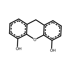 Oc1cccc2c1Oc1c(O)cccc1C2